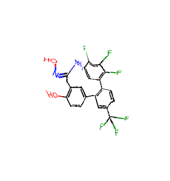 NC(=NO)c1cc(-c2cc(C(F)(F)F)ccc2-c2ccc(F)c(F)c2F)ccc1O